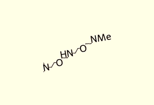 CNCCOCCNCCOCCN(C)C